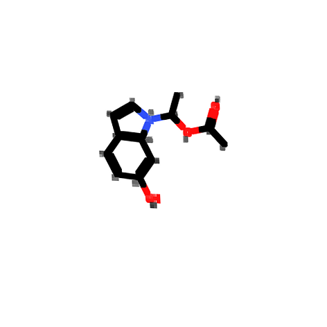 CC(=O)OC(C)n1ccc2ccc(O)cc21